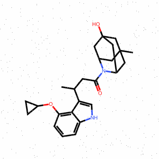 CC(CC(=O)N1C2CC3(C)CC1CC(O)(C2)C3)c1c[nH]c2cccc(OC3CC3)c12